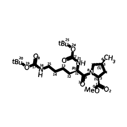 COC(=O)[C@@H]1C[C@H](C)CN1C(=O)[C@@H](CCCCNC(=O)OC(C)(C)C)NC(=O)OC(C)(C)C